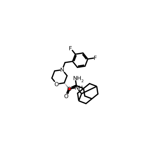 NC(=O)C12CC3CC(C1)C(NC(=O)[C@H]1CN(Cc4ccc(F)cc4F)CCO1)C(C3)C2